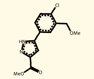 COCc1cc(-c2cc(C(=O)OC)n[nH]2)ccc1Cl